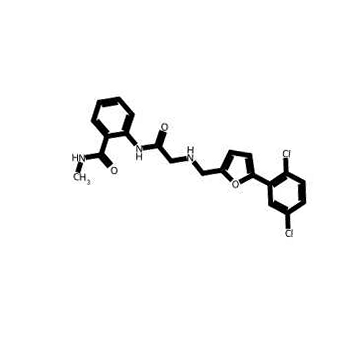 CNC(=O)c1ccccc1NC(=O)CNCc1ccc(-c2cc(Cl)ccc2Cl)o1